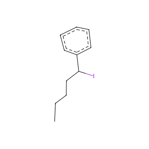 CCCCC(I)c1ccccc1